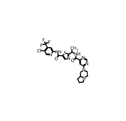 CC(NC(=O)c1cc(N2CCN3CCCC3C2)ncn1)c1ncc(C(=O)Nc2cc(C(F)(F)F)c(Cl)cn2)s1